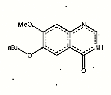 CCCCOc1cc2c(=O)[nH]cnc2cc1OC